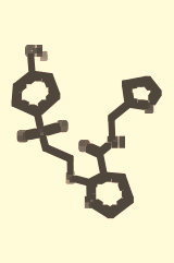 Cc1ccc(S(=O)(=O)CCSc2ncccc2C(=O)NCc2cccs2)cc1